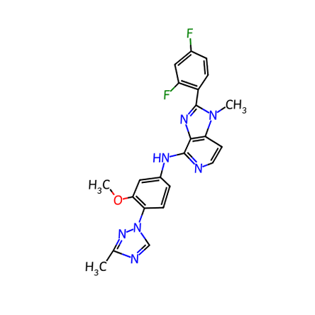 COc1cc(Nc2nccc3c2nc(-c2ccc(F)cc2F)n3C)ccc1-n1cnc(C)n1